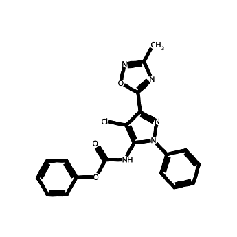 Cc1noc(-c2nn(-c3ccccc3)c(NC(=O)Oc3ccccc3)c2Cl)n1